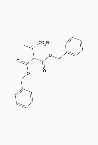 CCOC(=O)[C@@H](C)C(C(=O)OCc1ccccc1)C(=O)OCc1ccccc1